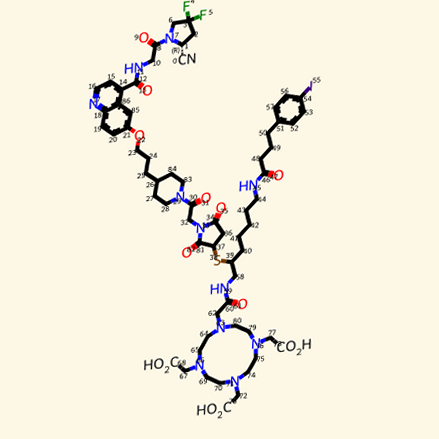 N#C[C@H]1CC(F)(F)CN1C(=O)CNC(=O)c1ccnc2ccc(OCCCC3CCN(C(=O)CN4C(=O)CC(SC(CCCCCNC(=O)CCCc5ccc(I)cc5)CNC(=O)CN5CCN(CC(=O)O)CCN(CC(=O)O)CCN(CC(=O)O)CC5)C4=O)CC3)cc12